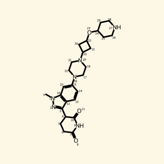 Cn1nc(C2CCC(=O)NC2=O)c2ccc(N3CCN(C4CC(OC5CCNCC5)C4)CC3)cc21